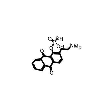 CNCCc1ccc2c(c1OP(=O)(O)O)C(=O)c1ccccc1C2=O